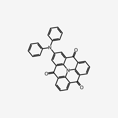 O=c1c2cccc3c(=O)c4cc(N(c5ccccc5)c5ccccc5)cc5c(=O)c6cccc1c6n(c23)c45